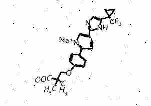 CC(C)(COc1ccc(-c2ccc(-c3ncc(C4(C(F)(F)F)CC4)[nH]3)cn2)cc1)C(=O)[O-].[Na+]